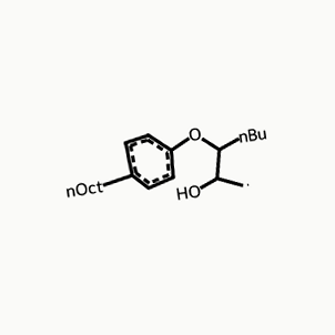 [CH2]C(O)C(CCCC)Oc1ccc(CCCCCCCC)cc1